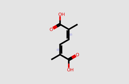 C/C(=C/C=C(/C)C(=O)O)C(=O)O